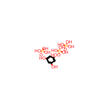 O=P(O)(O)O.O=P(O)(O)O.O=P(O)(O)O.Oc1cc(O)cc(O)c1